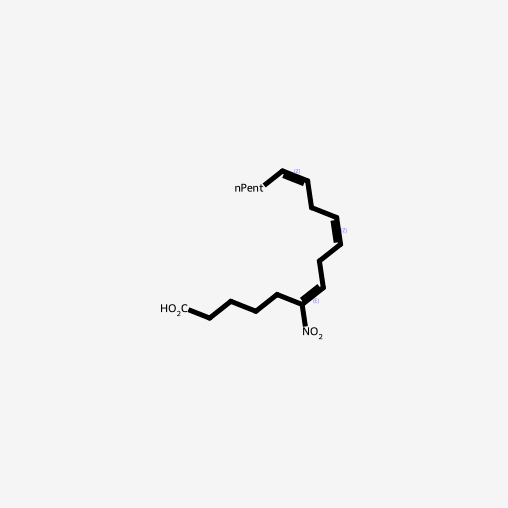 CCCCC/C=C\C/C=C\C/C=C(\CCCCC(=O)O)[N+](=O)[O-]